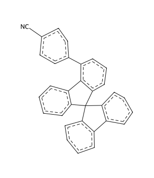 N#Cc1ccc(-c2cccc3c2-c2ccccc2C32c3ccccc3-c3ccccc32)cc1